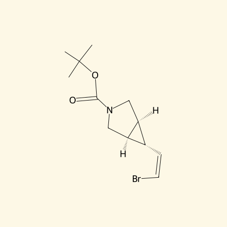 CC(C)(C)OC(=O)N1C[C@@H]2[C@@H](/C=C\Br)[C@@H]2C1